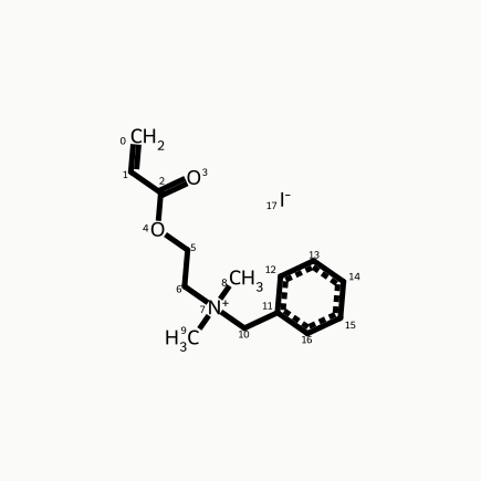 C=CC(=O)OCC[N+](C)(C)Cc1ccccc1.[I-]